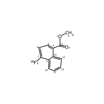 COC(=O)c1ccc([18F])c2ccccc12